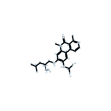 Cc1nccc2c1c(=O)n(C)c1cc(OC[C@@H](N)CC(C)C)c(OC(F)F)cc21